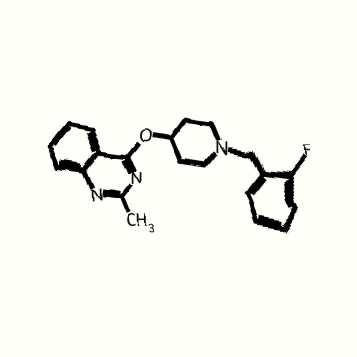 Cc1nc(OC2CCN(Cc3ccccc3F)CC2)c2ccccc2n1